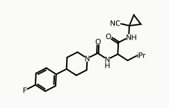 CC(C)CC(NC(=O)N1CCC(c2ccc(F)cc2)CC1)C(=O)NC1(C#N)CC1